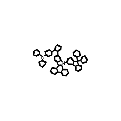 c1ccc(N(c2ccccc2)c2ccc(-c3ccccc3-c3ccc4c5c6ccccc6c6ccccc6c5n(-c5ccc6c(c5)-c5ccccc5C6(c5ccccc5)c5ccccc5)c4c3)cc2)cc1